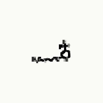 CSCCCOc1cc(C(F)(F)F)ccn1